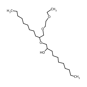 CCCCCCCCCC(O)COC(CCCCCCCCC)COCCOCC